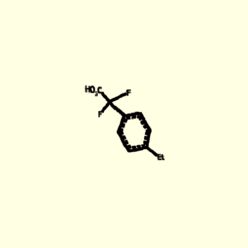 CCc1ccc(C(F)(F)C(=O)O)cc1